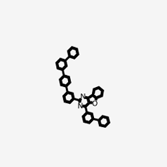 c1ccc(-c2cccc(-c3ccc(-c4cccc(-c5nc(-c6cccc(-c7ccccc7)c6)c6oc7ccccc7c6n5)c4)cc3)c2)cc1